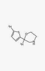 [2H]c1ccc(C2([2H])CNCCO2)s1